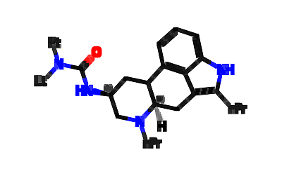 CCCc1[nH]c2cccc3c2c1C[C@@H]1C3C[C@H](NC(=O)N(CC)CC)CN1CCC